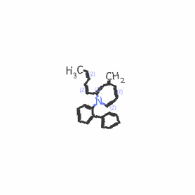 C=C1/C=C\C=C/N(c2ccccc2-c2ccccc2)C(/C=C\C=C/C)=C\1